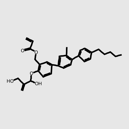 C=CC(=O)OCc1cc(-c2ccc(-c3ccc(CCCCC)cc3)c(C)c2)ccc1OC(O)C(=C)CO